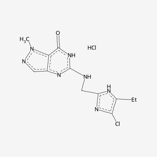 CCc1[nH]c(CNc2nc3cnn(C)c3c(=O)[nH]2)nc1Cl.Cl